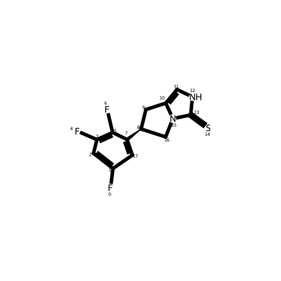 Fc1cc(F)c(F)c([C@H]2Cc3c[nH]c(=S)n3C2)c1